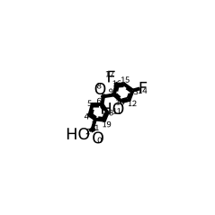 O=C(O)c1ccc(C(=O)c2c(O)cc(F)cc2F)cc1